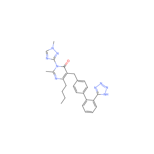 CCCCc1nc(C)n(-c2ncn(C)n2)c(=O)c1Cc1ccc(-c2ccccc2-c2nnn[nH]2)cc1